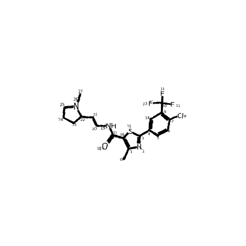 Cc1nc(-c2ccc(Cl)c(C(F)(F)F)c2)sc1C(=O)NCCC1CCCN1C